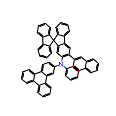 c1ccc(N(c2ccc3c4ccccc4c4ccccc4c3c2)c2cc3c(cc2-c2ccc4ccccc4c2)-c2ccccc2C32c3ccccc3-c3ccccc32)cc1